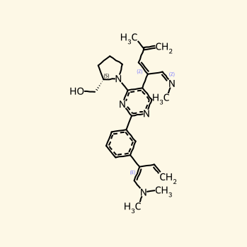 C=C/C(=C\N(C)C)c1cccc(-c2ncc(C(/C=N\C)=C/C(=C)C)c(N3CCC[C@H]3CO)n2)c1